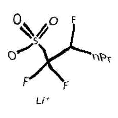 CCCC(F)C(F)(F)S(=O)(=O)[O-].[Li+]